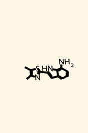 Cc1nc(-c2cc3cccc(N)c3[nH]2)sc1C